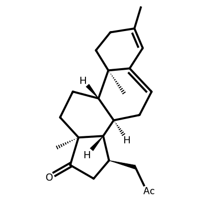 CC(=O)C[C@H]1CC(=O)[C@@]2(C)CC[C@H]3[C@@H](CC=C4C=C(C)CC[C@@]43C)[C@H]12